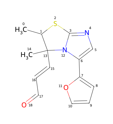 CC1Sc2ncc(-c3ccco3)n2C1(C)C=CC=O